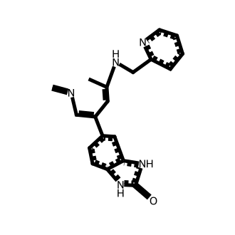 C=N/C=C(\C=C(/C)NCc1ccccn1)c1ccc2[nH]c(=O)[nH]c2c1